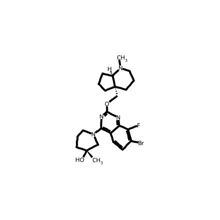 CN1CCC[C@@]2(COc3nc(N4CCC[C@@](C)(O)C4)c4ccc(Br)c(F)c4n3)CCC[C@@H]12